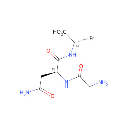 CC(C)[C@H](NC(=O)[C@H](CC(N)=O)NC(=O)CN)C(=O)O